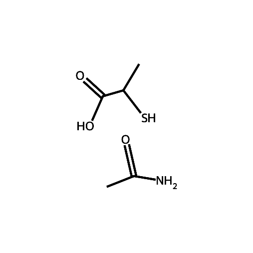 CC(N)=O.CC(S)C(=O)O